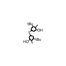 Cc1c(O)cc(Sc2cc(O)c(C)c(C(C)(C)C)c2)cc1C(C)(C)C